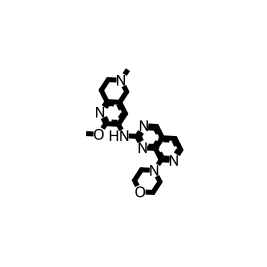 COc1nc2c(cc1Nc1ncc3ccnc(N4CCOCC4)c3n1)CN(C)CC2